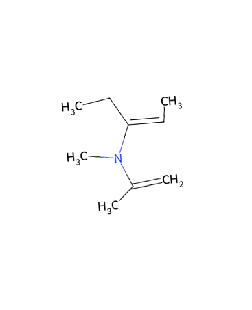 C=C(C)N(C)/C(=C/C)CC